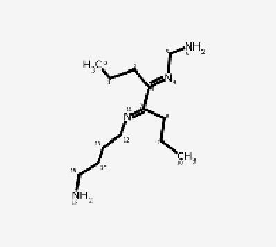 CCCC(=N\CN)/C(CCC)=N/CCCCN